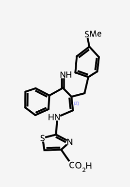 CSc1ccc(C/C(=C/Nc2nc(C(=O)O)cs2)C(=N)c2ccccc2)cc1